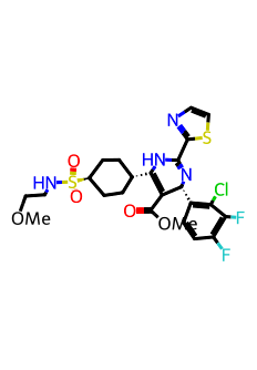 COCCNS(=O)(=O)[C@H]1CC[C@H](C2=C(C(=O)OC)[C@@H](c3ccc(F)c(F)c3Cl)N=C(c3nccs3)N2)CC1